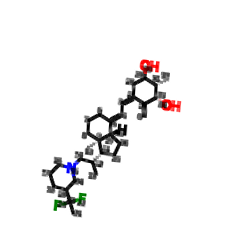 C=C1C(=CC=C2CCC[C@]3(C)[C@@H](C(C)CN4CCCC(C(C)(F)F)C4)CC[C@@H]23)C[C@@H](O)[C@H](C)[C@@H]1O